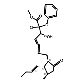 CC/C=C/[C@H]1[C@H](C)CC(=O)[C@@H]1CC=C=CC([16OH])C(Cl)(Oc1ccccc1)C(=O)OC